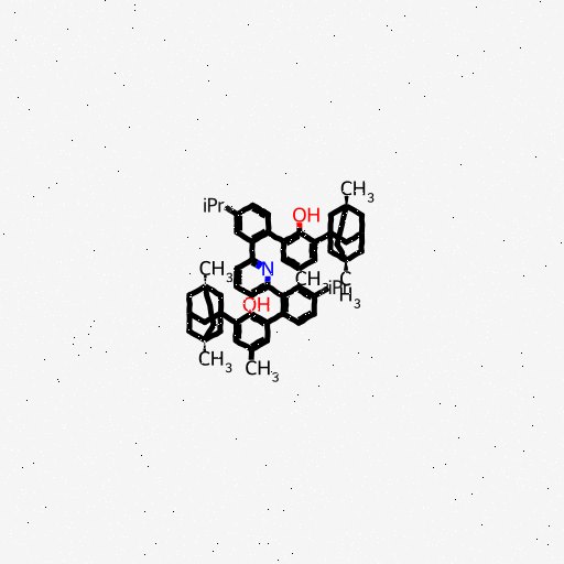 Cc1cc(-c2ccc(C(C)C)cc2-c2cccc(-c3cc(C(C)C)ccc3-c3cc(C)cc(C45CC6C[C@@](C)(C4)C[C@](C)(C6)C5)c3O)n2)c(O)c(C23CC4C[C@@](C)(C2)C[C@](C)(C4)C3)c1